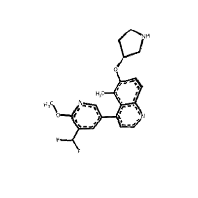 COc1ncc(-c2ccnc3ccc(O[C@H]4CCNC4)c(C)c23)cc1C(F)F